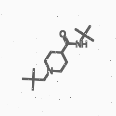 CC(C)(C)CN1CCC(C(=O)NC(C)(C)C)CC1